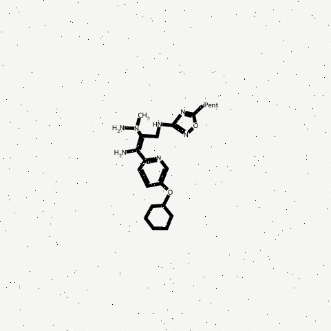 CCCC(C)c1nc(NC/C(=C(/N)c2ccc(OC3CCCCC3)cn2)N(C)N)no1